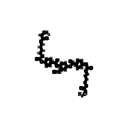 C=CC(=O)OCCCCOC(=O)Oc1ccc(C(=O)Oc2ccc(OC(=O)c3ccc(OC(=O)OCCCCOC(=O)C=C)cc3)c(C=O)c2)cc1